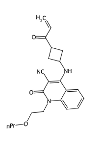 C=CC(=O)C1CC(Nc2c(C#N)c(=O)n(CCOCCC)c3ccccc23)C1